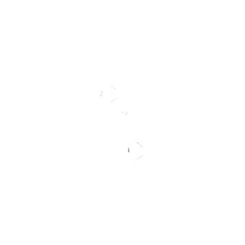 [NH]C(CCCc1ccccc1)Cc1ccccc1